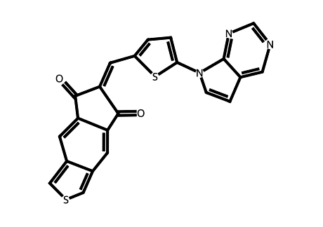 O=C1C(=Cc2ccc(-n3ccc4cncnc43)s2)C(=O)c2cc3cscc3cc21